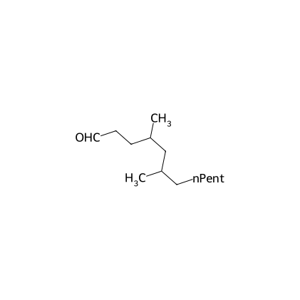 CCCCCCC(C)CC(C)CCC=O